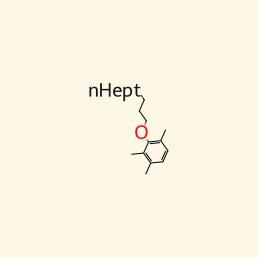 CCCCCCCCCCOc1c(C)ccc(C)c1C